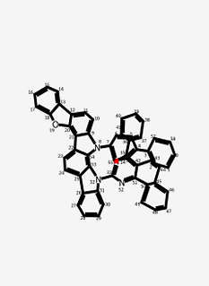 c1ccc(-c2ccc(-n3c4ccc5c6ccccc6oc5c4c4ccc5c6ccccc6n(-c6nc(-c7ccccc7)c7ccc8ccccc8c7n6)c5c43)cc2)cc1